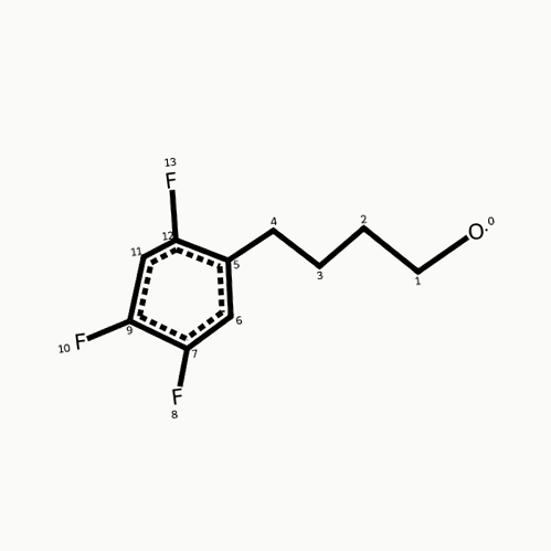 [O]CCCCc1cc(F)c(F)cc1F